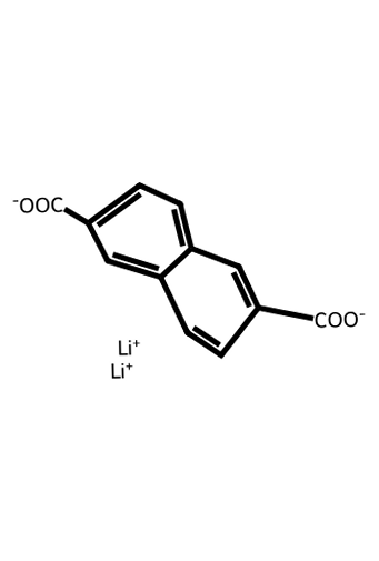 O=C([O-])c1ccc2cc(C(=O)[O-])ccc2c1.[Li+].[Li+]